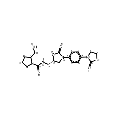 O=C1OCCN1c1ccc(N2C[C@H](CNC(=S)N3CCCC3CO)OC2=O)cc1